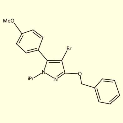 COc1ccc(-c2c(Br)c(OCc3ccccc3)nn2C(C)C)cc1